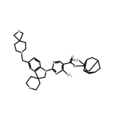 O=C(NC1(C(=O)O)C2CCC3CC(C2)CC1C3)c1cnc(N2CC3(CCOCC3)c3cc(CN4CCC5(CC4)COC5)ccc32)nc1C(F)(F)F